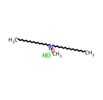 CCCCCCCCCCCCCCCCCC[N](CCCCCCCCCCCCCCCCCC)[Ti][O]CC.Cl.Cl